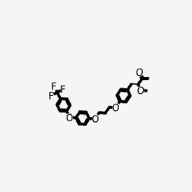 CO[C@@H](Cc1ccc(OCCCOc2ccc(Oc3ccc(C(F)(F)F)cc3)cc2)cc1)C(C)=O